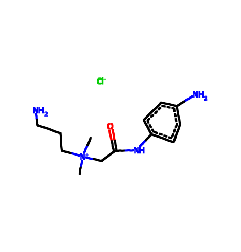 C[N+](C)(CCCN)CC(=O)Nc1ccc(N)cc1.[Cl-]